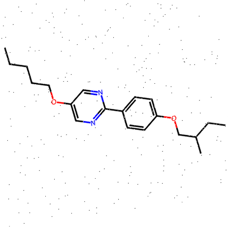 CCCCCOc1cnc(-c2ccc(OCC(C)CC)cc2)nc1